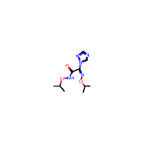 CC(C)ON=C(C(=O)NOC(C)C)n1cncn1